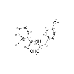 O=CC(Cc1ccc(O)cc1)NC(=O)c1ccccc1F